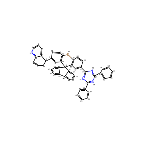 C1=Cc2ncccc2C(c2ccc3c(c2)C2(c4cc(-c5nc(-c6ccccc6)nc(-c6ccccc6)n5)ccc4S3)c3ccccc3-c3ccccc32)C1